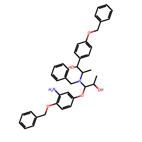 CC(O)C(Oc1ccc(OCc2ccccc2)c(N)c1)N(Cc1ccccc1)C(C)C(O)c1ccc(OCc2ccccc2)cc1